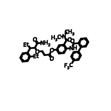 CCc1ccccc1C(CC)C(OCCC(=O)Oc1ccc(NC(=O)c2ccccc2-c2ccc(C(F)(F)F)cc2)c(C(=O)N(C)C)c1)C(N)=O